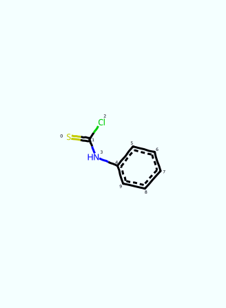 S=C(Cl)Nc1ccccc1